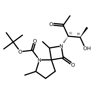 CC(=O)[C@H]([C@@H](C)O)N1C(=O)C2(CCC(C)N2C(=O)OC(C)(C)C)C1C